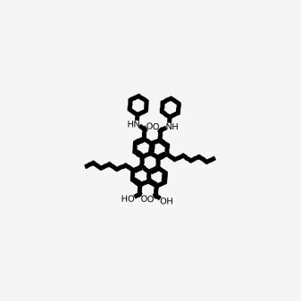 CCCCCCc1cc(C(=O)O)c2c(C(=O)O)ccc3c4c(CCCCCC)cc(C(=O)NC5CCCCC5)c5c(C(=O)NC6CCCCC6)ccc(c1c23)c54